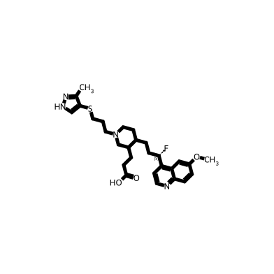 COc1ccc2nccc([C@@H](F)CCC3CCN(CCCSc4c[nH]nc4C)CC3CCC(=O)O)c2c1